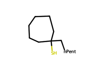 CCCCCCC1(S)CCCCCC1